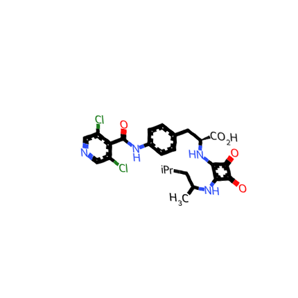 CC(C)CC(C)Nc1c(N[C@@H](Cc2ccc(NC(=O)c3c(Cl)cncc3Cl)cc2)C(=O)O)c(=O)c1=O